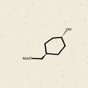 COC[C@H]1CC[C@H](O)CC1